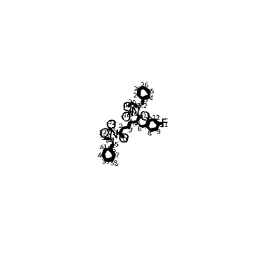 O=C(CC=C[C@H](Cc1ccc(F)cc1)C(=O)N1C(=O)OC[C@@H]1Cc1ccccc1)N1C(=O)OC[C@@H]1Cc1ccccc1